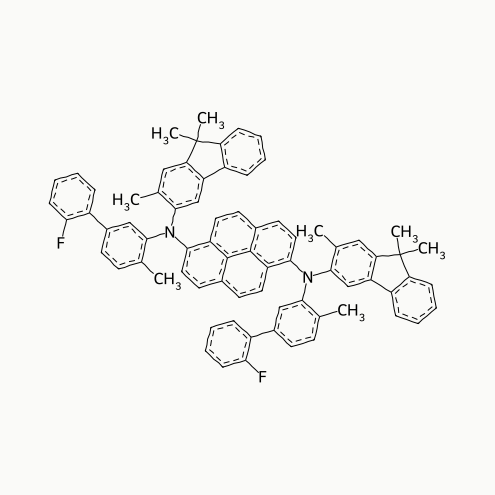 Cc1ccc(-c2ccccc2F)cc1N(c1cc2c(cc1C)C(C)(C)c1ccccc1-2)c1ccc2ccc3c(N(c4cc(-c5ccccc5F)ccc4C)c4cc5c(cc4C)C(C)(C)c4ccccc4-5)ccc4ccc1c2c43